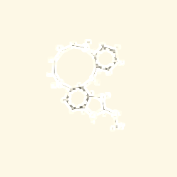 CC(C)OC1Oc2ccc3c(c2O1)Sc1ccccc1OCCCCO3